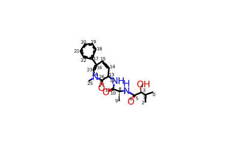 CC(C)[C@H](O)C(=O)N[C@@H](C)C(=O)NC1C=CC(c2ccccc2)=CN(C)C1=O